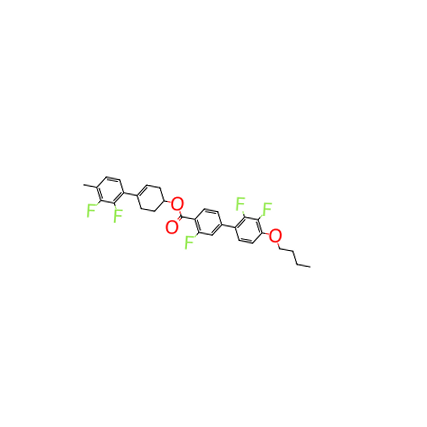 CCCCOc1ccc(-c2ccc(C(=O)OC3CC=C(c4ccc(C)c(F)c4F)CC3)c(F)c2)c(F)c1F